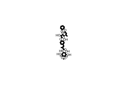 C/C(=C/COc1ccccc1Cl)[C@H]1O[C@@H](Oc2ccc(/C=C(\C)C(=O)N[C@@H]3[C@H](O)[C@@H](O)[C@H]4OCO[C@H]4[C@@H]3O)cc2O)[C@@H](O)[C@@H]1O